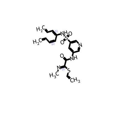 C=C/C=C\C(=C/C=C)NS(=O)(=O)c1cncc(NC(=O)/C(=N/C)SC=C)c1